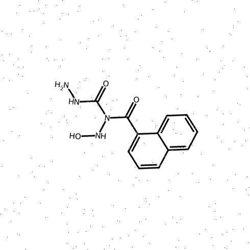 NNC(=O)N(NO)C(=O)c1cccc2ccccc12